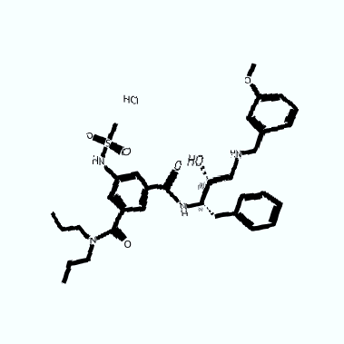 CCCN(CCC)C(=O)c1cc(NS(C)(=O)=O)cc(C(=O)N[C@@H](Cc2ccccc2)[C@H](O)CNCc2cccc(OC)c2)c1.Cl